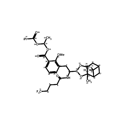 COc1c(CC(NC(=O)CCCC(F)(F)F)B2OC3CC4CC(C4(C)C)C3(C)O2)cccc1C(=O)OC(C)OC(=O)C(C)C